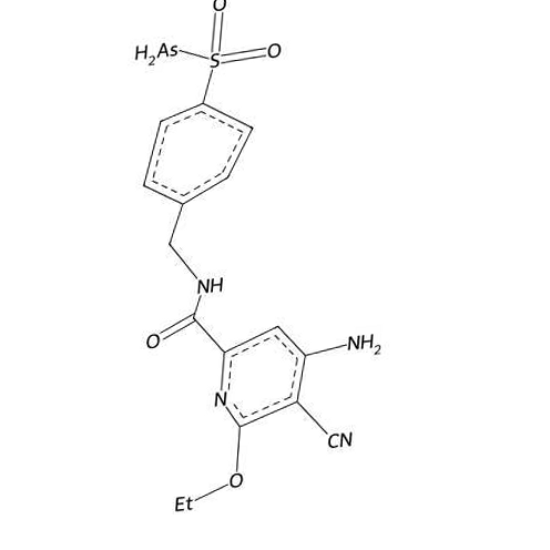 CCOc1nc(C(=O)NCc2ccc(S(=O)(=O)[AsH2])cc2)cc(N)c1C#N